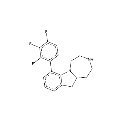 Fc1ccc(-c2cccc3c2N2CCNCCC2C3)c(F)c1F